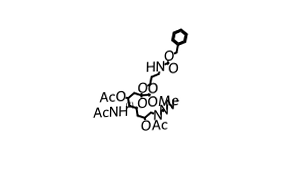 COC(=O)C1(OCCCNC(=O)OCc2ccccc2)CC(OC(C)=O)[C@@H](NC(C)=O)C(CC(CN=[N+]=[N-])OC(C)=O)O1